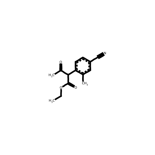 CCOC(=O)C(C(C)=O)c1ccc(C#N)cc1C